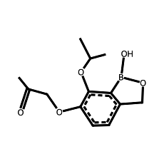 CC(=O)COc1ccc2c(c1OC(C)C)B(O)OC2